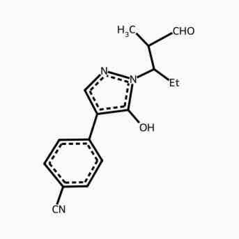 [CH2]CC(C(C)C=O)n1ncc(-c2ccc(C#N)cc2)c1O